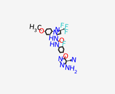 COc1ccc(-n2nc(C(F)(F)F)cc2NC(=O)Nc2ccc(Oc3ncnc(N)c3C#N)cc2F)cc1